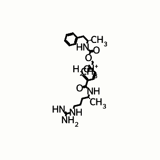 C=[N+](/C=C\C(=C/C)C(=O)N[C@H](C)CCCNC(=N)N)COC(=O)N[C@@H](C)Cc1ccccc1